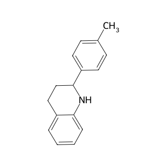 Cc1ccc(C2CCc3ccccc3N2)cc1